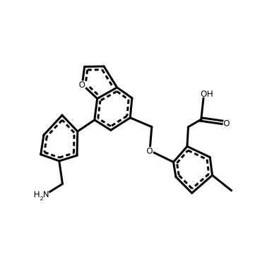 Cc1ccc(OCc2cc(-c3cccc(CN)c3)c3occc3c2)c(CC(=O)O)c1